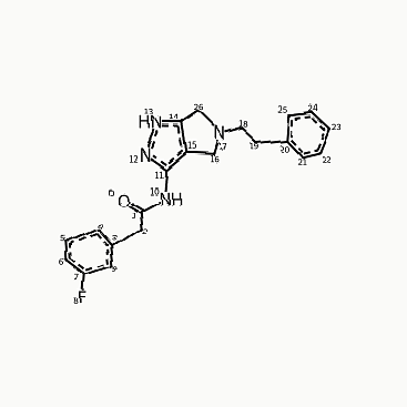 O=C(Cc1cccc(F)c1)Nc1n[nH]c2c1CN(CCc1ccccc1)C2